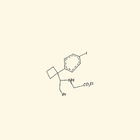 CCOC(=O)CNC(CC(C)C)C1(c2ccc(I)cc2)CCC1